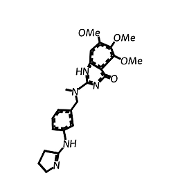 COc1cc2[nH]c(N(C)Cc3cccc(NC4=NCCC4)c3)nc(=O)c2c(OC)c1OC